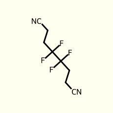 N#CCCC(F)(F)C(F)(F)CCC#N